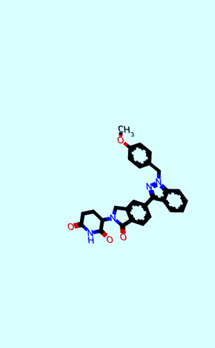 COc1ccc(Cn2nc(-c3ccc4c(c3)CN(C3CCC(=O)NC3=O)C4=O)c3ccccc32)cc1